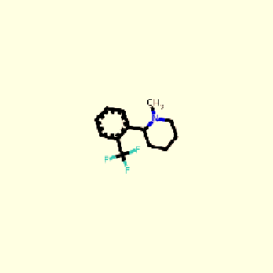 CN1CCCCC1c1ccccc1C(F)(F)F